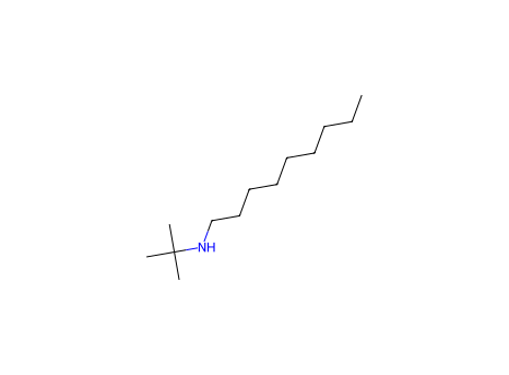 CCCCCCCCCNC(C)(C)C